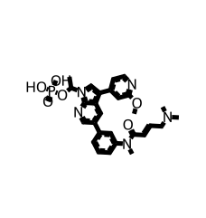 COc1cc(-c2cn(C(C)OP(=O)(O)O)c3ncc(-c4cccc(N(C)C(=O)C=CCN(C)C)c4)cc23)ccn1